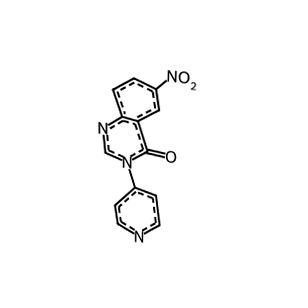 O=c1c2cc([N+](=O)[O-])ccc2ncn1-c1ccncc1